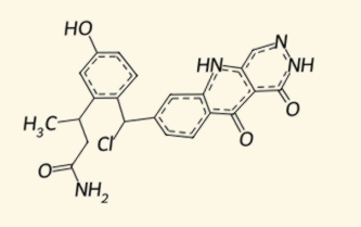 CC(CC(N)=O)c1cc(O)ccc1C(Cl)c1ccc2c(=O)c3c(=O)[nH]ncc3[nH]c2c1